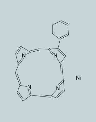 C1=CC2=NC1=CC1=NC(=CC3=NC(=CC4=NC(=C2)C=C4)C=C3c2ccccc2)C=C1.[Ni]